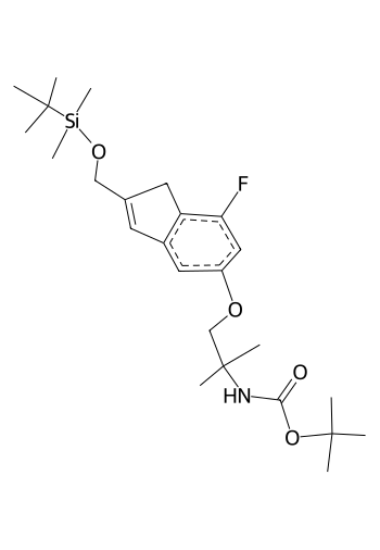 CC(C)(COc1cc(F)c2c(c1)C=C(CO[Si](C)(C)C(C)(C)C)C2)NC(=O)OC(C)(C)C